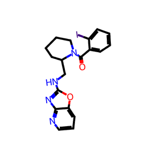 O=C(c1ccccc1I)N1CCCCC1CNc1nc2ncccc2o1